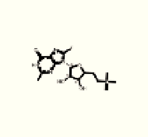 C=P(C)(C)CCC1O[C@@H](n2c(F)nc3c(=O)[nH]c(C)nc32)[C@H](O)[C@@H]1O